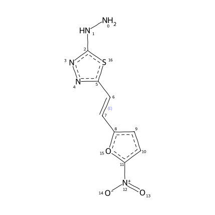 NNc1nnc(/C=C/c2ccc([N+](=O)[O-])o2)s1